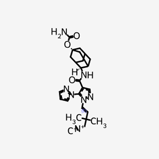 [C-]#[N+]CC(C)(C)/C=C/n1ncc(C(=O)N[C@H]2C3CC4CC2C[C@](OC(N)=O)(C4)C3)c1-n1cccn1